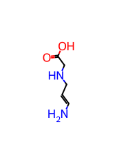 NC=CCNCC(=O)O